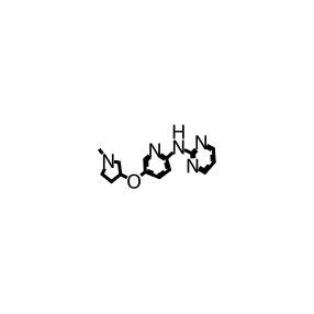 CN1CCC(Oc2ccc(Nc3ncccn3)nc2)C1